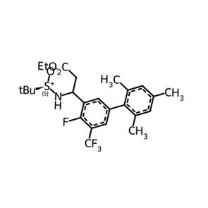 CCOC(=O)CC(N[S@+]([O-])C(C)(C)C)c1cc(-c2c(C)cc(C)cc2C)cc(C(F)(F)F)c1F